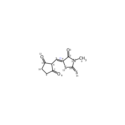 CN1C(=O)/C(=C/C2C(=O)CCC2=O)SC1=S